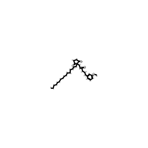 CCCCCCCCCCCCCCCCC1(CCC(=O)CCCc2cccc(OC)c2)C(=O)CCC1=O